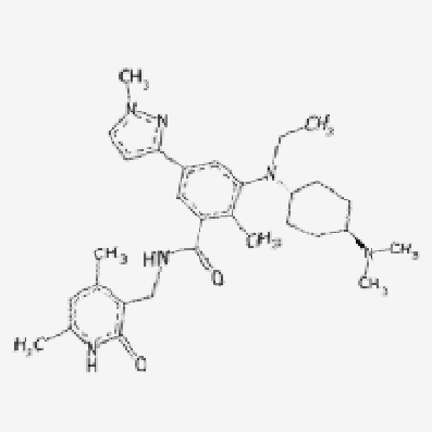 CCN(c1cc(-c2ccn(C)n2)cc(C(=O)NCc2c(C)cc(C)[nH]c2=O)c1C)[C@H]1CC[C@H](N(C)C)CC1